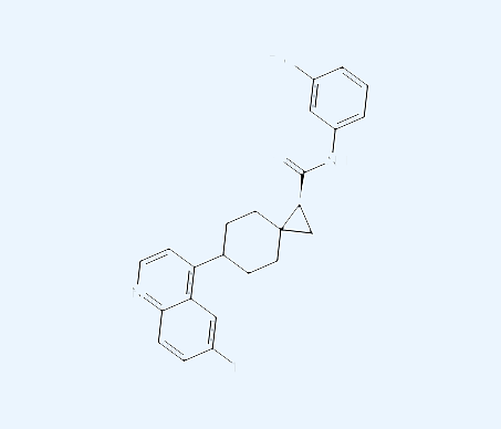 O=C(Nc1cccc(C(F)(F)F)c1)[C@H]1CC12CCC(c1ccnc3ccc(F)cc13)CC2